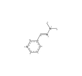 CN(C)N=Cc1cccnc1